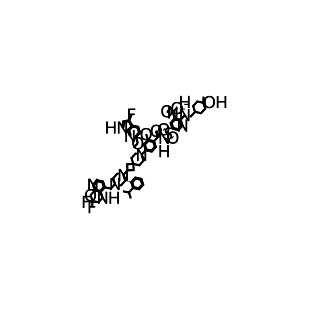 COc1nc2[nH]cc(F)c2cc1Oc1cc(N2CCC3(CC2)CC(N2CCN(Cc4ccnc5c4NCC(F)(F)O5)C[C@H]2c2ccccc2C(C)C)C3)ccc1C(=O)NS(=O)(=O)c1cnc(NCC2CCC(C)(O)CC2)c([N+](=O)[O-])c1